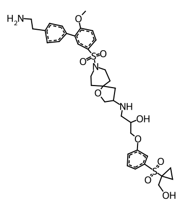 COc1ccc(S(=O)(=O)N2CCC3(CC2)CC(NCC(O)COc2cccc(S(=O)(=O)C4(CO)CC4)c2)CO3)cc1-c1ccc(CCN)cc1